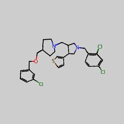 Clc1cccc(COCC2CCN(CC3CN(Cc4ccc(Cl)cc4Cl)CC3c3ccsc3)CC2)c1